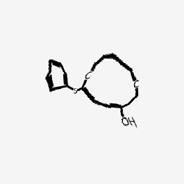 OC1=CC=C(Sc2ccccc2)CCCCCCCC1